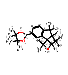 [2H]C([2H])([2H])C1(C)C(C)(C)c2ccc(B3OC(C)(C)C(C)(C)O3)cc2C1(C([2H])([2H])[2H])C([2H])([2H])[2H]